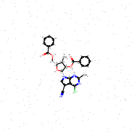 Cc1nc(Cl)c2c(C#N)cn([C@@H]3O[C@H](COC(=O)c4ccccc4)[C@@H](C)[C@H]3OC(=O)c3ccccc3)c2n1